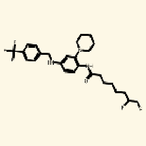 O=C(CCCCCC(F)CF)Nc1ccc(NCc2ccc(C(F)(F)F)cc2)cc1N1CCCCC1